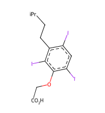 CC(C)CCc1c(I)cc(I)c(OCC(=O)O)c1I